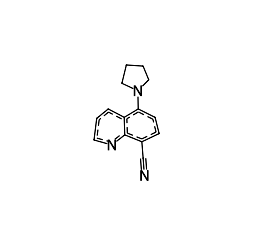 N#Cc1ccc(N2CCCC2)c2cccnc12